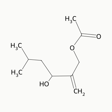 C=C(COC(C)=O)C(O)CC(C)C